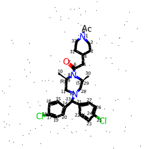 CC(=O)N1CCC(CC(=O)N2[C@H](C)CN(C(c3ccc(Cl)cc3)c3ccc(Cl)cc3)C[C@@H]2C)CC1